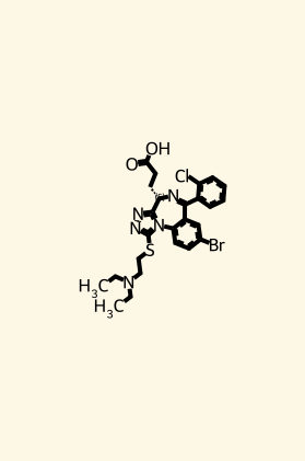 CCN(CC)CCSc1nnc2n1-c1ccc(Br)cc1C(c1ccccc1Cl)=N[C@H]2CCC(=O)O